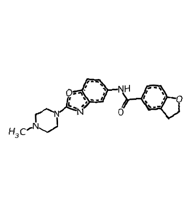 CN1CCN(c2nc3cc(NC(=O)c4ccc5c(c4)CCO5)ccc3o2)CC1